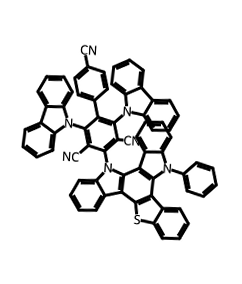 N#Cc1ccc(-c2c(-n3c4ccccc4c4ccccc43)c(C#N)c(-n3c4ccccc4c4c5sc6ccccc6c5c5c(c6ccccc6n5-c5ccccc5)c43)c(C#N)c2-n2c3ccccc3c3ccccc32)cc1